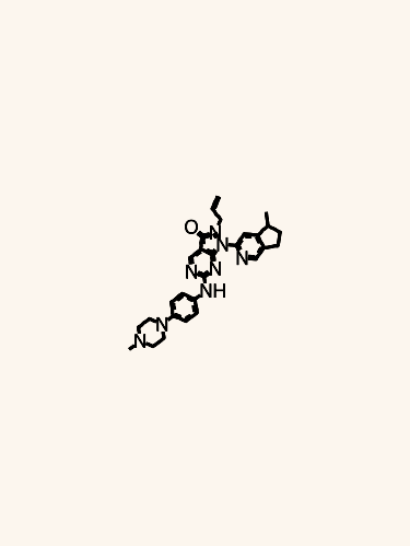 C=CCn1c(=O)c2cnc(Nc3ccc(N4CCN(C)CC4)cc3)nc2n1-c1cc2c(cn1)CCC2C